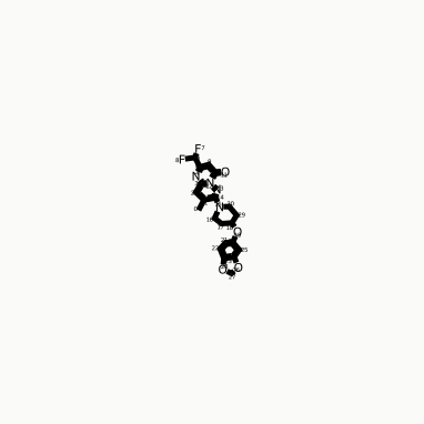 Cc1cc2nc(C(F)F)cc(=O)n2nc1N1CCC(Oc2ccc3c(c2)OCO3)CC1